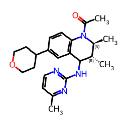 CC(=O)N1c2ccc(C3CCOCC3)cc2C(Nc2nccc(C)n2)[C@@H](C)[C@@H]1C